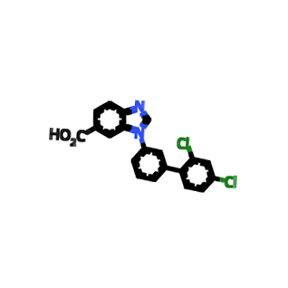 O=C(O)c1ccc2ncn(-c3cccc(-c4ccc(Cl)cc4Cl)c3)c2c1